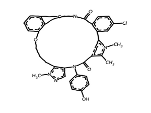 Cc1c2cc(n1C)-c1cc(Cl)ccc1C(=O)N1CCc3c(cccc3OCCCc3c(cnn3C)N(c3ccc(O)cc3)C2=O)C1